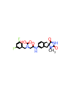 CN1C(=O)NC(=O)[C@@]12Cc1ccc(NC(=O)CN(Cc3cc(F)cc(F)c3)C(=O)O)cc1C2